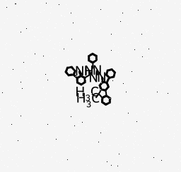 CC1(C)c2ccccc2-c2cc3c4ccccc4n(-c4nc(-c5ccccc5)nc(-c5cccc6c5[nH]c5ccccc56)n4)c3cc21